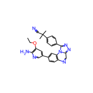 CCOc1cc(-c2ccc3ncc4nnc(-c5ccc(C(C)(C)C#N)cc5)n4c3c2)cnc1N